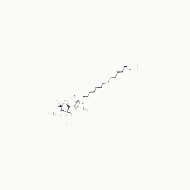 CCCCCCCCCCCCCCOC(=O)C(O)[C@H]1OC(=O)[C@@H](O)[C@H]1O